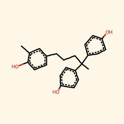 Cc1cc(CCCC(C)(c2ccc(O)cc2)c2ccc(O)cc2)ccc1O